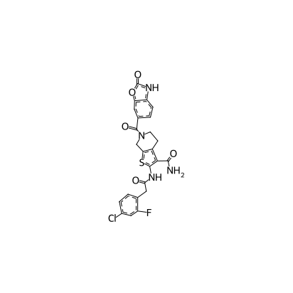 NC(=O)c1c(NC(=O)Cc2ccc(Cl)cc2F)sc2c1CCN(C(=O)c1ccc3[nH]c(=O)oc3c1)C2